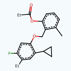 CCC(=O)Oc1cccc(C)c1COc1cc(F)c(CC)cc1C1CC1